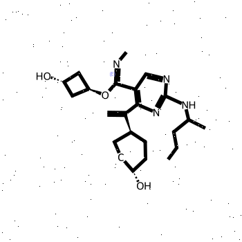 C=C(c1nc(NC(C)CCC)ncc1/C(=N\C)O[C@H]1C[C@H](O)C1)[C@H]1CC[C@H](O)CC1